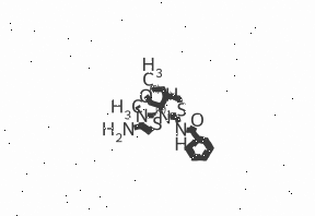 C[C@H]1C[C@H]2CSC(NC(=O)c3ccccc3)=N[C@@]2(C2SC=C(N)N2C)CO1